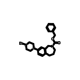 CCN1CCN(c2ccc3c(c2)CN(C(=O)OCc2ccccc2)CCC3)CC1